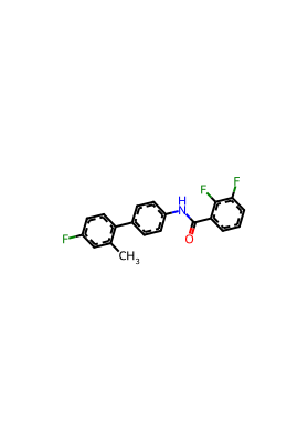 Cc1cc(F)ccc1-c1ccc(NC(=O)c2cccc(F)c2F)cc1